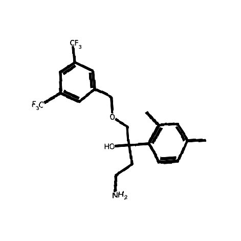 Cc1ccc(C(O)(CCN)COCc2cc(C(F)(F)F)cc(C(F)(F)F)c2)c(C)c1